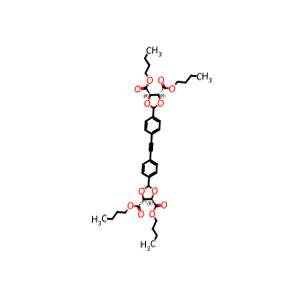 CCCCOC(=O)[C@@H]1OC(c2ccc(C#Cc3ccc(C4O[C@@H](C(=O)OCCCC)[C@H](C(=O)OCCCC)O4)cc3)cc2)O[C@H]1C(=O)OCCCC